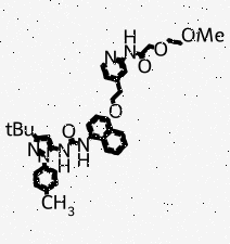 COCCOCC(=O)Nc1cc(CCOc2ccc(NC(=O)Nc3cc(C(C)(C)C)nn3-c3ccc(C)cc3)c3ccccc23)ccn1